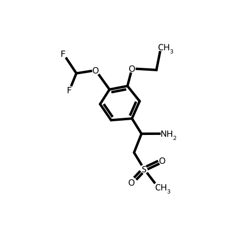 CCOc1cc(C(N)CS(C)(=O)=O)ccc1OC(F)F